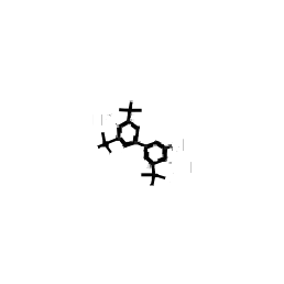 CC(C)(C)c1cc(-c2cc(C(C)(C)C)c(O)c(C(C)(C)C)c2)cc(Cl)c1O